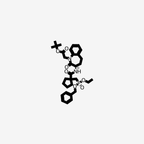 CCOP(=O)(CC1(C(=O)N[C@H]2CCc3ccccc3N(CC(=O)OC(C)(C)C)C2=O)CCCC1)OCc1ccccc1